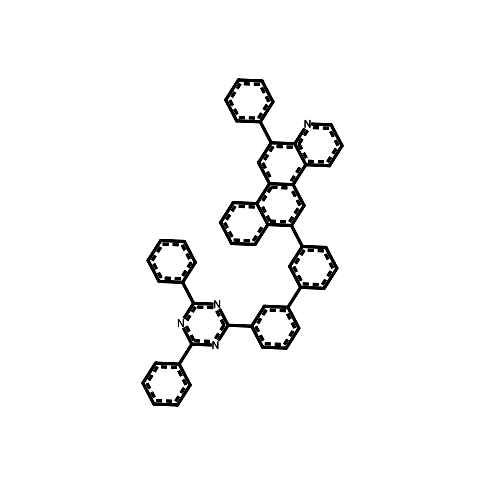 c1ccc(-c2nc(-c3ccccc3)nc(-c3cccc(-c4cccc(-c5cc6c7cccnc7c(-c7ccccc7)cc6c6ccccc56)c4)c3)n2)cc1